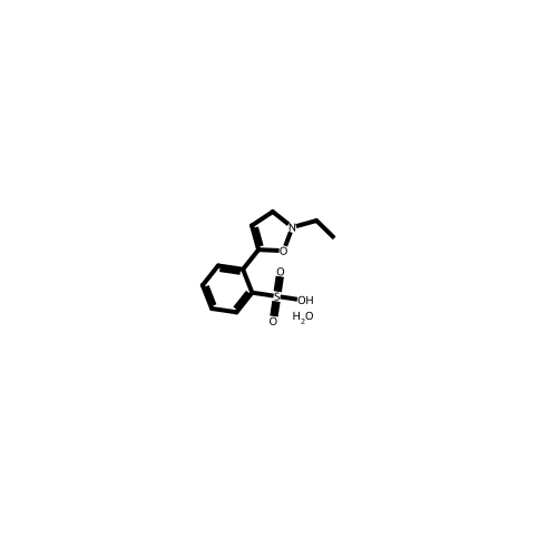 CCN1CC=C(c2ccccc2S(=O)(=O)O)O1.O